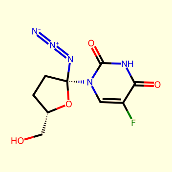 [N-]=[N+]=N[C@]1(n2cc(F)c(=O)[nH]c2=O)CC[C@@H](CO)O1